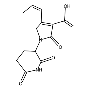 C=C(O)C1=C(/C=C\C)CN(C2CCC(=O)NC2=O)C1=O